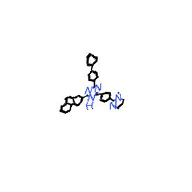 CN1CC=CN=C1c1ccc(C2=NC(c3ccc(-c4ccccc4)cc3)=NC(c3ccc4c(ccc5ccccc54)c3)N2)cc1